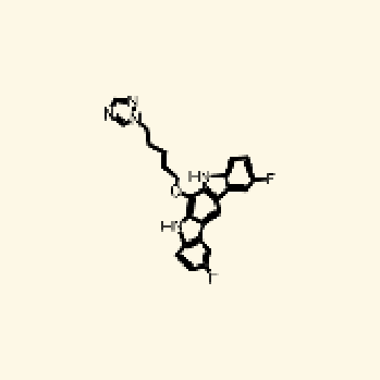 Fc1ccc2[nH]c3c(OCCCCCn4cncn4)c4[nH]c5ccc(F)cc5c4cc3c2c1